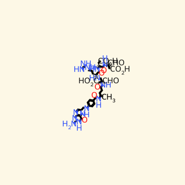 C[C@H](CCC(=O)N[C@@](C=O)(CN[C@@H](CCCNC(=N)N)C(=O)N[C@@H](CC(=O)O)C(=O)N[C@H](C=O)CC(=O)O)CC(=O)O)NC(=O)c1ccc(NCc2cnc3nc(N)[nH]c(=O)c3n2)cc1